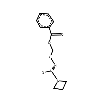 O=C(OCON=[N+]([O-])N1CCC1)c1ccccc1